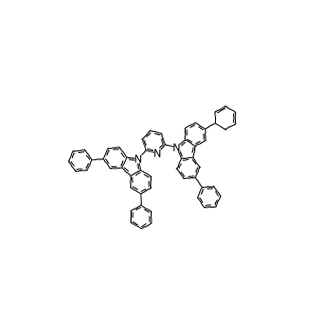 C1=CCC(c2ccc3c(c2)c2cc(-c4ccccc4)ccc2n3-c2cccc(-n3c4ccc(-c5ccccc5)cc4c4cc(-c5ccccc5)ccc43)n2)C=C1